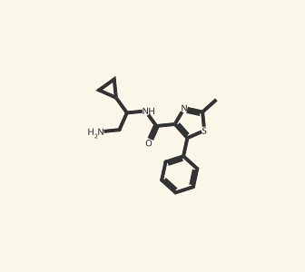 Cc1nc(C(=O)NC(CN)C2CC2)c(-c2ccccc2)s1